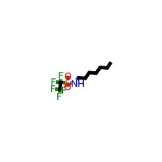 CCCCCCCNS(=O)(=O)C(F)(F)C(F)(F)F